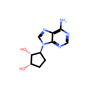 Nc1ncnc2c1ncn2[C@H]1CC[C@H](O)[C@@H]1O